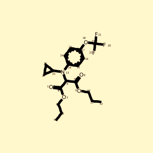 CCCOC(=O)C(C(=O)OCCC)N(c1ccc(OC(F)(F)F)cc1)C1CC1